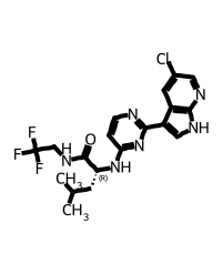 CC(C)C[C@@H](Nc1ccnc(-c2c[nH]c3ncc(Cl)cc23)n1)C(=O)NCC(F)(F)F